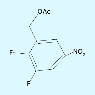 CC(=O)OCc1cc([N+](=O)[O-])cc(F)c1F